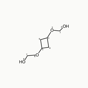 OCOC1CC(OCO)C1